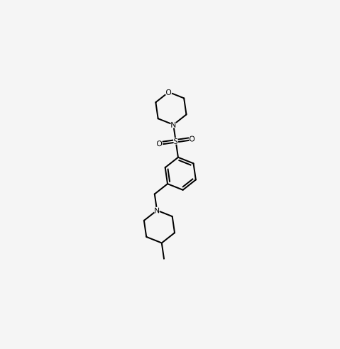 CC1CCN(Cc2cccc(S(=O)(=O)N3CCOCC3)c2)CC1